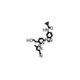 Cc1cc(C#N)nn1-c1nc(-n2cnc3ccc(NC(=O)C4CC4)cc32)ccc1CCO